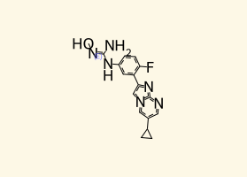 N/C(=N\O)Nc1ccc(F)c(-c2cn3cc(C4CC4)cnc3n2)c1